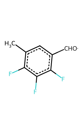 Cc1cc([C]=O)c(F)c(F)c1F